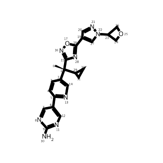 C[C@@](c1ccc(-c2cnc(N)nc2)nc1)(c1noc(-c2cnn(C3COC3)c2)n1)C1CC1